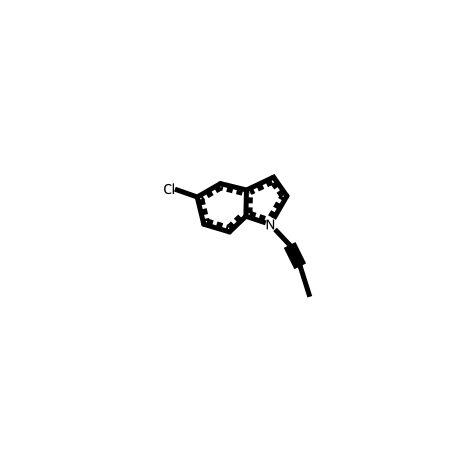 CC#Cn1ccc2cc(Cl)ccc21